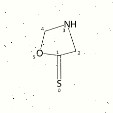 S=C1CNCO1